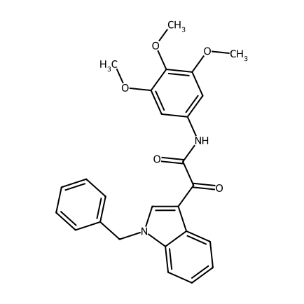 COc1cc(NC(=O)C(=O)c2cn(Cc3ccccc3)c3ccccc23)cc(OC)c1OC